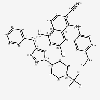 COc1ccc(Nc2c(C#N)cnc3c(N[C@@H](c4ccccc4)c4cn(C5CCN(C(C)(C)C)CC5)nn4)cc(Cl)cc23)cn1